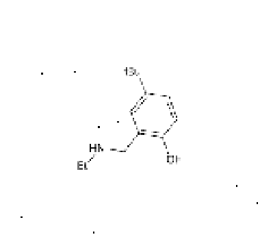 CCNCc1cc(C(C)(C)C)ccc1O